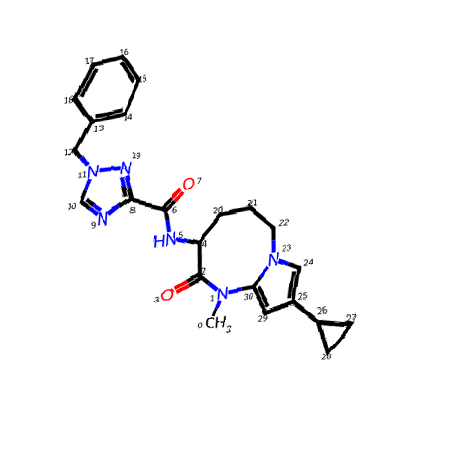 CN1C(=O)C(NC(=O)c2ncn(Cc3ccccc3)n2)CCCn2cc(C3CC3)cc21